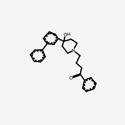 O=C(CCCN1CCC(O)(c2cccc(-c3ccccc3)c2)CC1)c1ccccc1